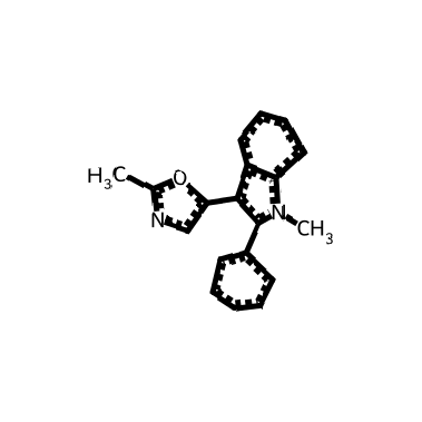 Cc1ncc(-c2c(-c3ccccc3)n(C)c3ccccc23)o1